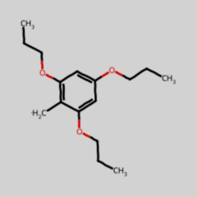 [CH2]c1c(OCCC)cc(OCCC)cc1OCCC